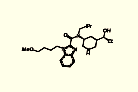 CC[C@H](O)[C@H]1CNC[C@@H](N(CC(C)C)C(=O)c2nc3ccccc3n2CCCCOC)C1